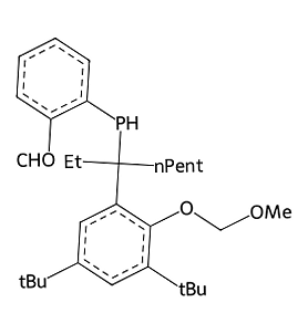 CCCCCC(CC)(Pc1ccccc1C=O)c1cc(C(C)(C)C)cc(C(C)(C)C)c1OCOC